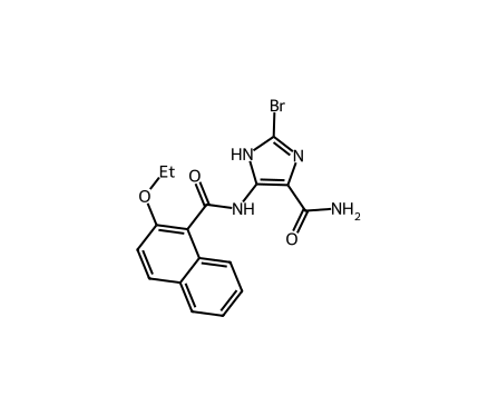 CCOc1ccc2ccccc2c1C(=O)Nc1[nH]c(Br)nc1C(N)=O